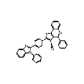 N#Cc1c(-c2ccc(-c3nc4ccccc4n3-c3ccccc3)cc2)sc2c1c(-c1ccccc1)nc1ccccc12